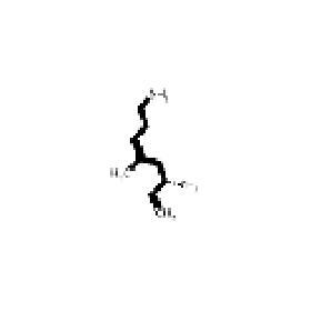 C=C[C@@H](C)C/C(C)=C\CCN